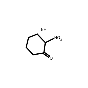 O=C1CCCCC1[N+](=O)[O-].[KH]